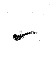 CCCCCCCCCCCCCCCCC(=O)NC1CC(C)(C)N(OC(C)c2ccccc2)C(CC)(CC)C1